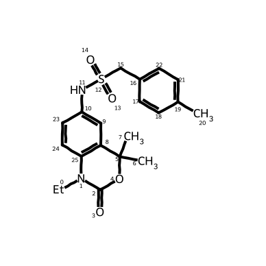 CCN1C(=O)OC(C)(C)c2cc(NS(=O)(=O)Cc3ccc(C)cc3)ccc21